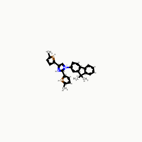 Cc1ccc(-c2cn(-c3ccc4c(c3)C(C)(C)c3ccccc3-4)c(-c3ccc(C)s3)n2)s1